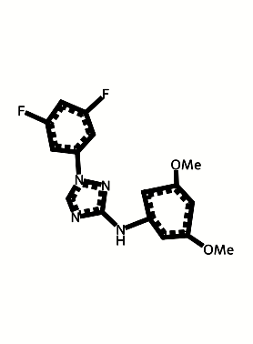 COc1cc(Nc2ncn(-c3cc(F)cc(F)c3)n2)cc(OC)c1